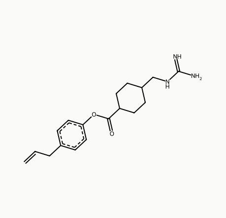 C=CCc1ccc(OC(=O)C2CCC(CNC(=N)N)CC2)cc1